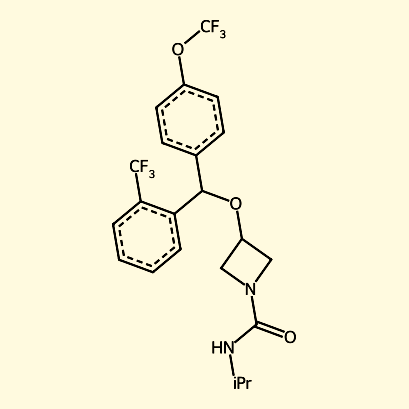 CC(C)NC(=O)N1CC(OC(c2ccc(OC(F)(F)F)cc2)c2ccccc2C(F)(F)F)C1